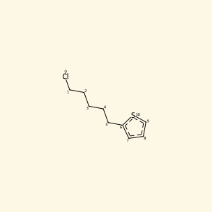 ClCCCCCc1cccs1